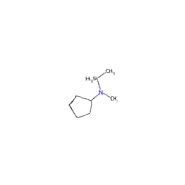 C[SiH2]N(C)C1CCCC1